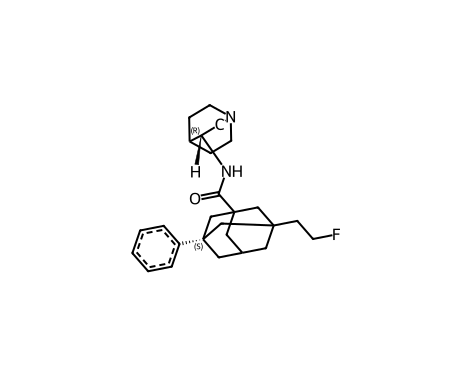 O=C(N[C@H]1CN2CCC1CC2)C12CC3CC(CCF)(C1)C[C@@](c1ccccc1)(C3)C2